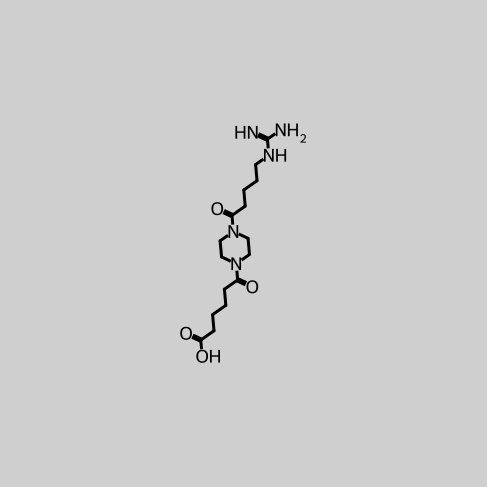 N=C(N)NCCCCC(=O)N1CCN(C(=O)CCCCC(=O)O)CC1